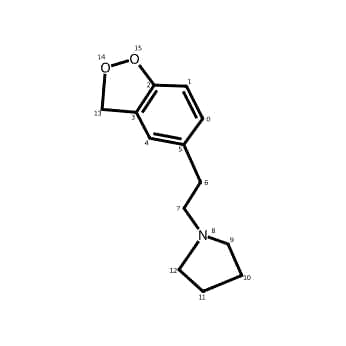 c1cc2c(cc1CCN1CCCC1)COO2